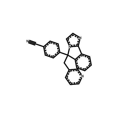 N#Cc1ccc(C2(Cc3cccnc3)c3ccccc3-c3nccn32)cc1